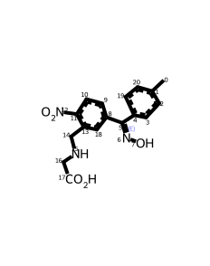 Cc1ccc(/C(=N\O)c2ccc([N+](=O)[O-])c(CNCC(=O)O)c2)cc1